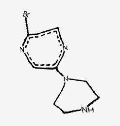 Brc1cnc(N2CCNCC2)cn1